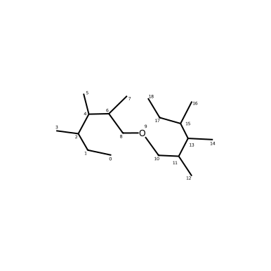 CCC(C)C(C)C(C)COCC(C)C(C)C(C)CC